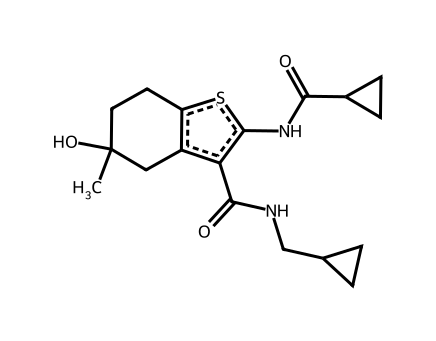 CC1(O)CCc2sc(NC(=O)C3CC3)c(C(=O)NCC3CC3)c2C1